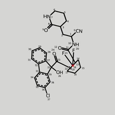 N#CC(CC1CCCNC1=O)NC(=O)C1C2CCC(CC2(F)F)N1C(=O)C1(O)c2ccccc2-c2ccc(Cl)cc21